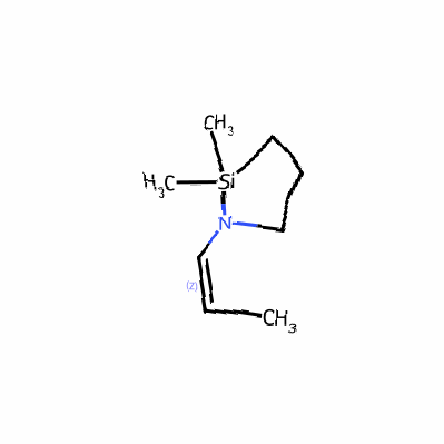 C/C=C\N1CCC[Si]1(C)C